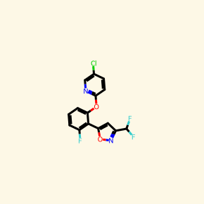 Fc1cccc(Oc2ccc(Cl)cn2)c1-c1cc(C(F)F)no1